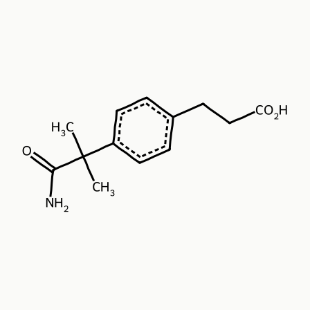 CC(C)(C(N)=O)c1ccc(CCC(=O)O)cc1